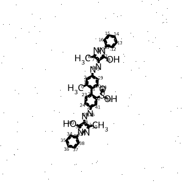 Cc1cc(N=Nc2c(C)nn(-c3ccccc3)c2O)ccc1-c1ccc(N=Nc2c(C)nn(-c3ccccc3)c2O)cc1S(=O)O